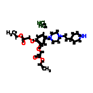 CCOC(=O)COc1ccc(N2CCN(CCC3CCNCC3)CC2)cc1OCC(=O)OCC.Cl.Cl